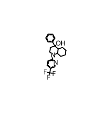 OC1(c2ccccc2)CCN(c2ccc(C(F)(F)F)cn2)C2CCCCC21